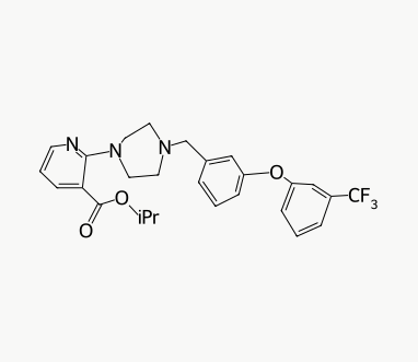 CC(C)OC(=O)c1cccnc1N1CCN(Cc2cccc(Oc3cccc(C(F)(F)F)c3)c2)CC1